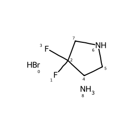 Br.FC1(F)CCNC1.N